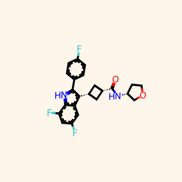 O=C(N[C@@H]1CCOC1)[C@H]1C[C@@H](c2c(-c3ccc(F)cc3)[nH]c3c(F)cc(F)cc32)C1